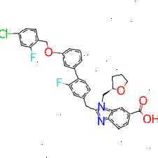 O=C(O)c1ccc2nc(Cc3ccc(-c4cccc(OCc5ccc(Cl)cc5F)c4)c(F)c3)n(C[C@H]3CCCO3)c2c1